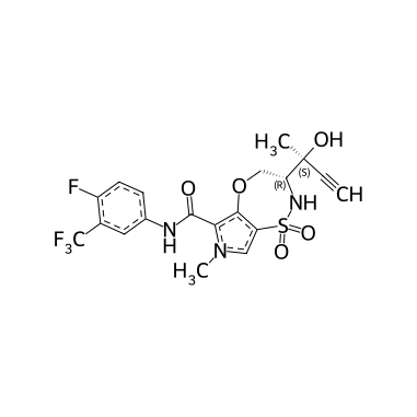 C#C[C@](C)(O)[C@H]1COc2c(cn(C)c2C(=O)Nc2ccc(F)c(C(F)(F)F)c2)S(=O)(=O)N1